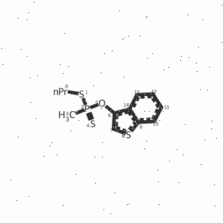 CCCSP(C)(=S)Oc1csc2ccccc12